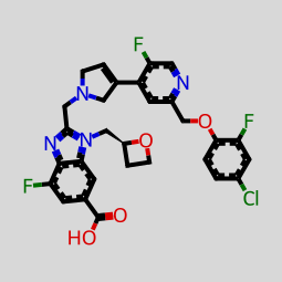 O=C(O)c1cc(F)c2nc(CN3CC=C(c4cc(COc5ccc(Cl)cc5F)ncc4F)C3)n(C[C@@H]3CCO3)c2c1